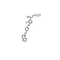 O=C(O)CCC(O)c1ccc(OCc2ccc(OCc3ccc4ccccc4n3)cc2)c(F)c1